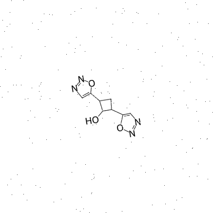 OC1C(c2cnno2)CC1c1cnno1